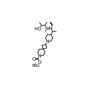 C=CN(C(C)C1CCN(C2CC3(CCN(C(=O)OC(C)(C)C)CC3)C2)CC1)N(C)C(C)C(C)O